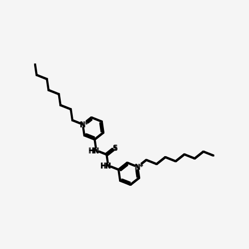 CCCCCCCC[n+]1cccc(NC(=S)Nc2ccc[n+](CCCCCCCC)c2)c1